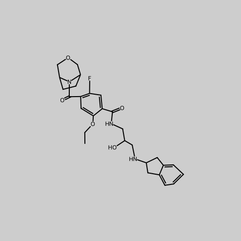 CCOc1cc(C(=O)N2C3CCC2COC3)c(F)cc1C(=O)NCC(O)CNC1Cc2ccccc2C1